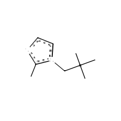 CCCC(C)(CC)Cn1ccnc1CC